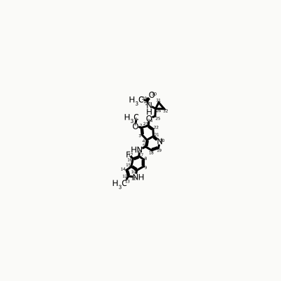 COc1cc2c(Nc3ccc4[nH]c(C)cc4c3F)ccnc2cc1OCC1(NC(C)=O)CC1